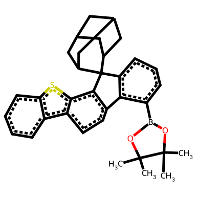 CC1(C)OB(c2cccc3c2-c2ccc4c(sc5ccccc54)c2C32C3CC4CC(C3)CC2C4)OC1(C)C